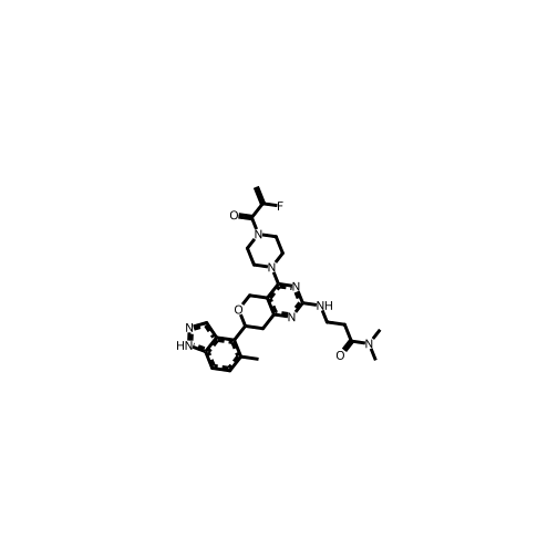 C=C(F)C(=O)N1CCN(c2nc(NCCC(=O)N(C)C)nc3c2COC(c2c(C)ccc4[nH]ncc24)C3)CC1